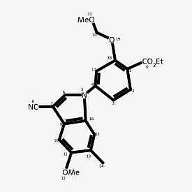 CCOC(=O)c1ccc(-n2cc(C#N)c3cc(OC)c(C)cc32)cc1OCOC